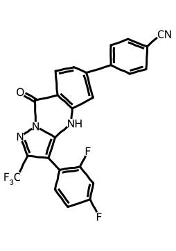 N#Cc1ccc(-c2ccc3c(=O)n4nc(C(F)(F)F)c(-c5ccc(F)cc5F)c4[nH]c3c2)cc1